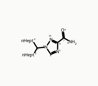 CCCCCCCC(CCCCCCC)n1cnc(C(N)=O)n1